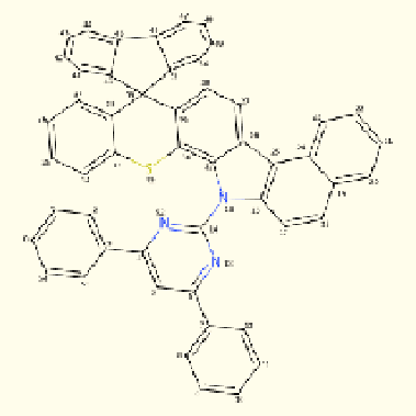 c1ccc(-c2cc(-c3ccccc3)nc(-n3c4ccc5ccccc5c4c4ccc5c(c43)Sc3ccccc3C53c4ccccc4-c4ccccc43)n2)cc1